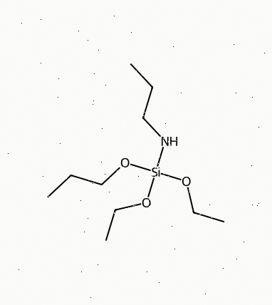 CCCN[Si](OCC)(OCC)OCCC